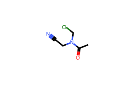 CC(=O)N(CCl)CC#N